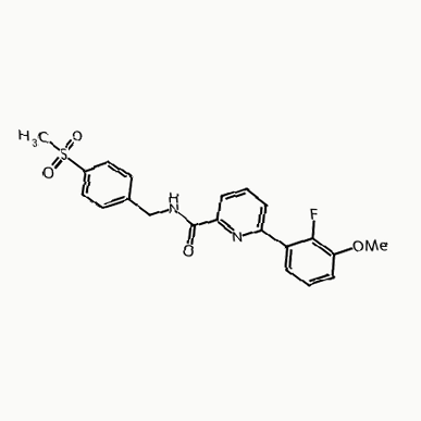 COc1cccc(-c2cccc(C(=O)NCc3ccc(S(C)(=O)=O)cc3)n2)c1F